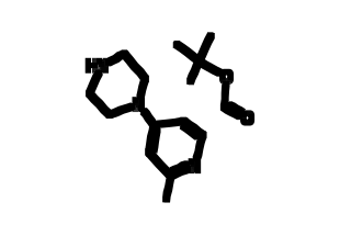 CC(C)(C)OC=O.Cc1cc(N2CCNCC2)ccn1